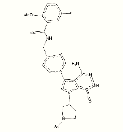 COc1ccc(F)cc1C(=O)NCc1ccc(-c2cn(C3CCN(C(C)=O)C3)c3c(=O)[nH]nc(N)c23)cc1